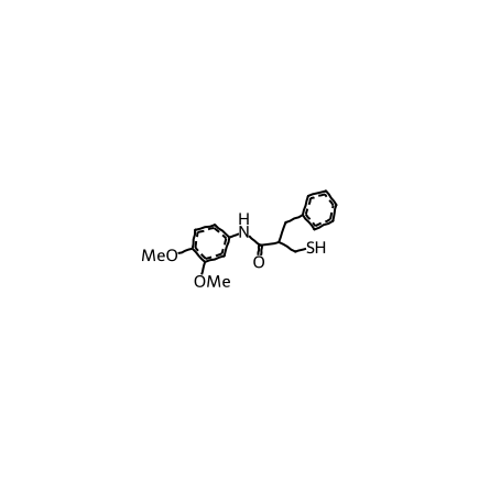 COc1ccc(NC(=O)C(CS)Cc2ccccc2)cc1OC